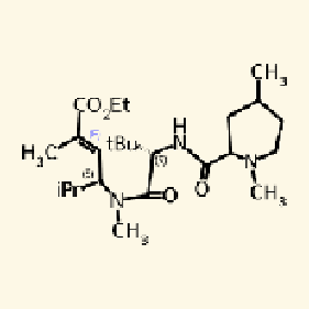 CCOC(=O)/C(C)=C/[C@H](C(C)C)N(C)C(=O)[C@@H](NC(=O)C1CC(C)CCN1C)C(C)(C)C